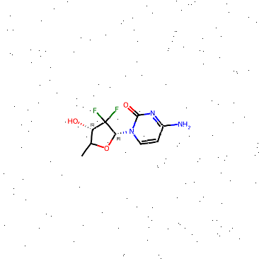 CC1O[C@@H](n2ccc(N)nc2=O)C(F)(F)[C@H]1O